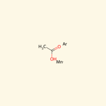 CC(=O)O.[Ar].[Mn]